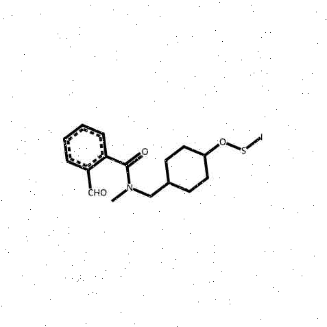 CN(CC1CCC(OSI)CC1)C(=O)c1ccccc1C=O